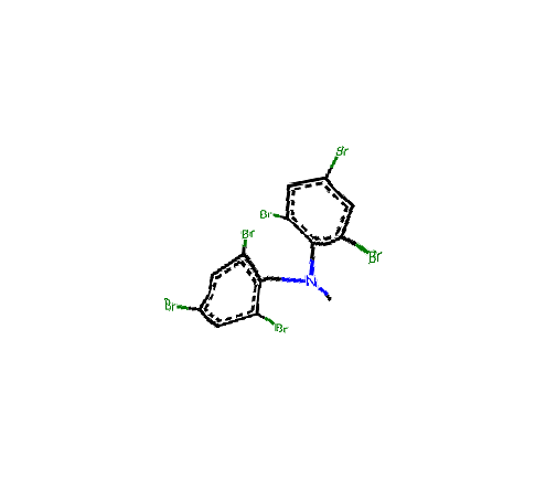 CN(c1c(Br)cc(Br)cc1Br)c1c(Br)cc(Br)cc1Br